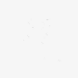 CC[C@@]1(O)C(=O)OCc2c1cc1n(c2=O)Cc2cc3ccccc3nc2-1.CN(CCCl)CCCl.O=P1(N(CCCl)CCCl)NCCCO1